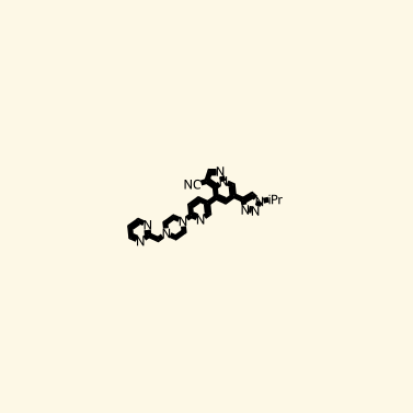 CC(C)n1cc(-c2cc(-c3ccc(N4CCN(Cc5ncccn5)CC4)nc3)c3c(C#N)cnn3c2)nn1